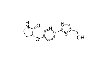 O=C1NCC[C@H]1Oc1ccc(-c2ncc(CO)s2)nc1